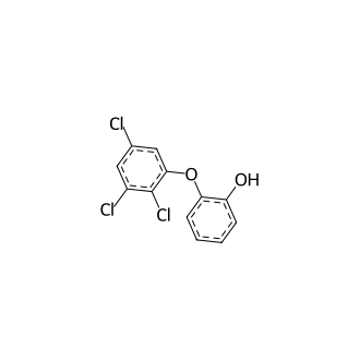 Oc1ccccc1Oc1cc(Cl)cc(Cl)c1Cl